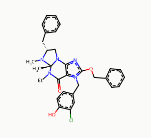 CCN1C(=O)c2c(nc(OCc3ccccc3)n2Cc2ccc(O)c(Cl)c2)N2C[C@@H](Cc3ccccc3)N(C)[C@@]12C